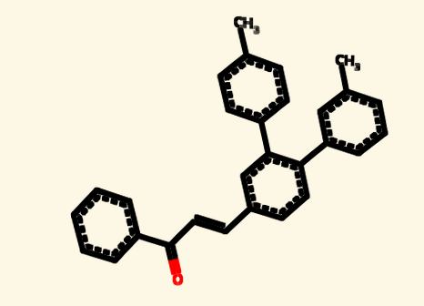 Cc1ccc(-c2cc(C=CC(=O)c3ccccc3)ccc2-c2cccc(C)c2)cc1